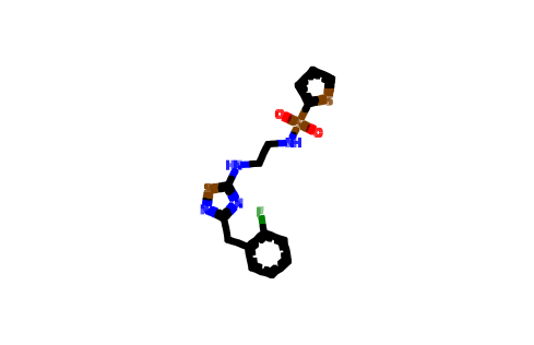 O=S(=O)(NCCNc1nc(Cc2ccccc2F)ns1)c1cccs1